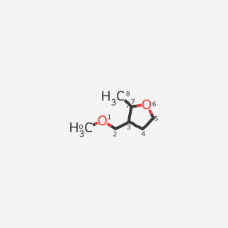 COCC1CCO[C]1C